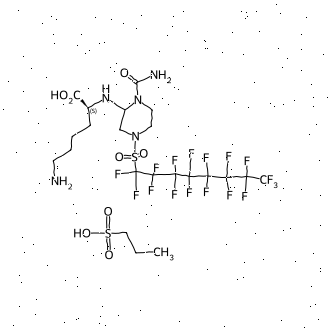 CCCS(=O)(=O)O.NCCCC[C@H](NC1CN(S(=O)(=O)C(F)(F)C(F)(F)C(F)(F)C(F)(F)C(F)(F)C(F)(F)C(F)(F)C(F)(F)F)CCN1C(N)=O)C(=O)O